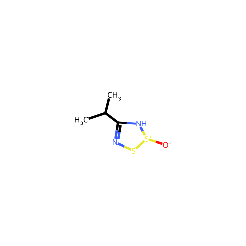 CC(C)C1=NS[S+]([O-])N1